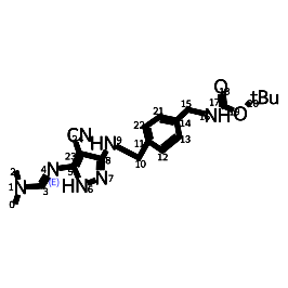 CN(C)/C=N/c1[nH]nc(NCc2ccc(CNC(=O)OC(C)(C)C)cc2)c1C#N